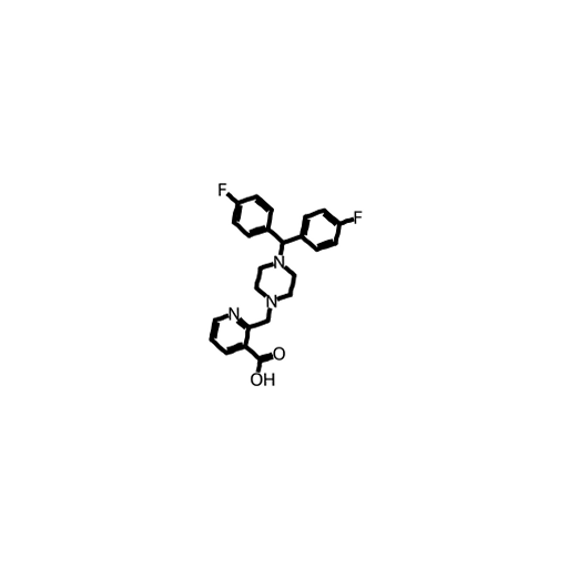 O=C(O)c1cccnc1CN1CCN(C(c2ccc(F)cc2)c2ccc(F)cc2)CC1